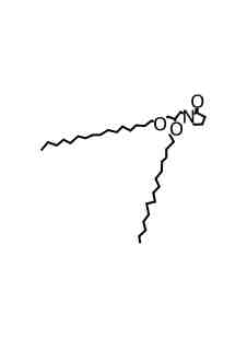 CCCCCCCCCCCCCCCCOCC(CN1CCCC1=O)OCCCCCCCCCCCCCCCC